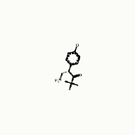 CC(C)(C)C(=O)[C@H](CN)c1ccc(Cl)cc1